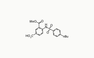 CCCCc1ccc(S(=O)(=O)Nc2ccc(C(=O)O)cc2C(=O)OC)cc1